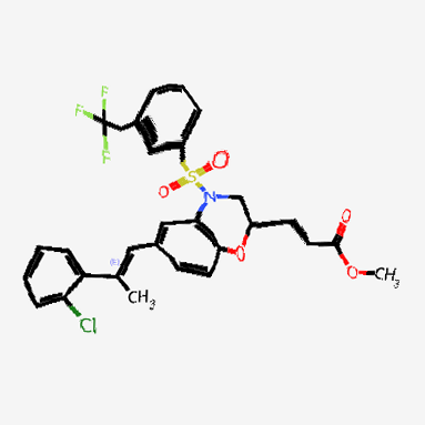 COC(=O)CCC1CN(S(=O)(=O)c2cccc(C(F)(F)F)c2)c2cc(/C=C(\C)c3ccccc3Cl)ccc2O1